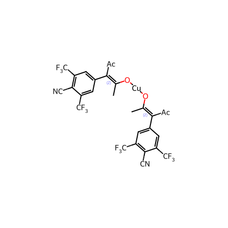 CC(=O)/C(=C(/C)[O][Cu][O]/C(C)=C(\C(C)=O)c1cc(C(F)(F)F)c(C#N)c(C(F)(F)F)c1)c1cc(C(F)(F)F)c(C#N)c(C(F)(F)F)c1